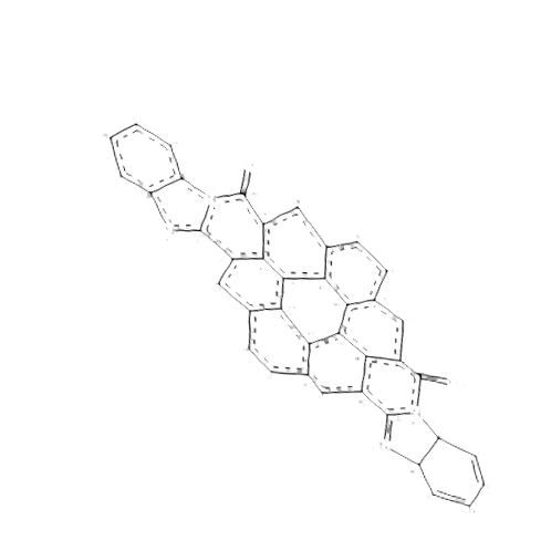 O=c1c2cc3ccc4cc5c(=O)n6c7ccccc7nc6c6cc7ccc8cc(c9n1C1C=CC=CC1N=9)c2c1c3c4c(c56)c7c81